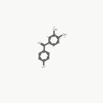 O=C(c1ccc(Cl)cc1)c1ccc(O)c(O)c1